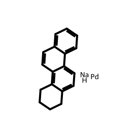 [NaH].[Pd].c1ccc2c(c1)ccc1c3c(ccc12)CCCC3